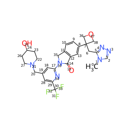 Cn1cnnc1CC1(c2ccc3c(c2)C(=O)N(c2cc(CN4CCC(O)CC4)cc(C(F)(F)F)n2)C3)COC1